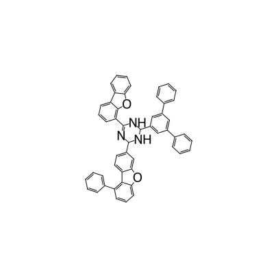 c1ccc(-c2cc(-c3ccccc3)cc(C3NC(c4cccc5c4oc4ccccc45)=NC(c4ccc5c(c4)oc4cccc(-c6ccccc6)c45)N3)c2)cc1